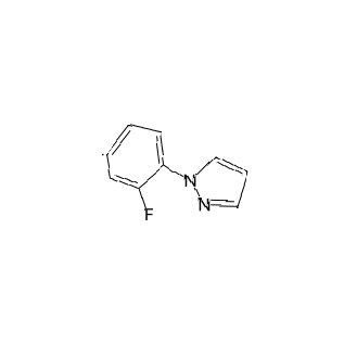 Fc1c[c]ccc1-n1cccn1